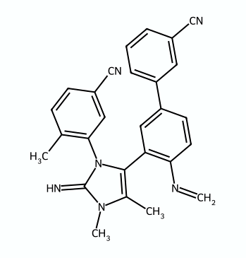 C=Nc1ccc(-c2cccc(C#N)c2)cc1-c1c(C)n(C)c(=N)n1-c1cc(C#N)ccc1C